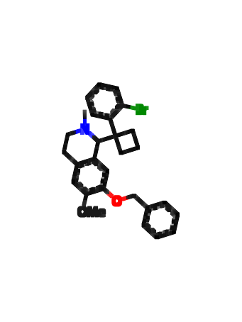 COc1cc2c(cc1OCc1ccccc1)C(C1(c3ccccc3Br)CCC1)N(C)CC2